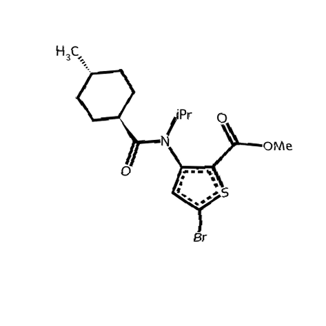 COC(=O)c1sc(Br)cc1N(C(=O)[C@H]1CC[C@H](C)CC1)C(C)C